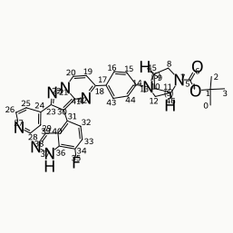 CC(C)(C)OC(=O)N1C[C@@H]2C[C@H]1CN2c1ccc(-c2ccn3nc(-c4ccncc4)c(-c4ccc(F)c5[nH]ncc45)c3n2)cc1